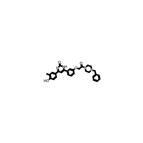 Cc1cc(-c2cc(-c3cccc(OCC(=O)N4CCN(Cc5ccccc5)CC4)c3)[nH]c(=O)n2)ccc1O